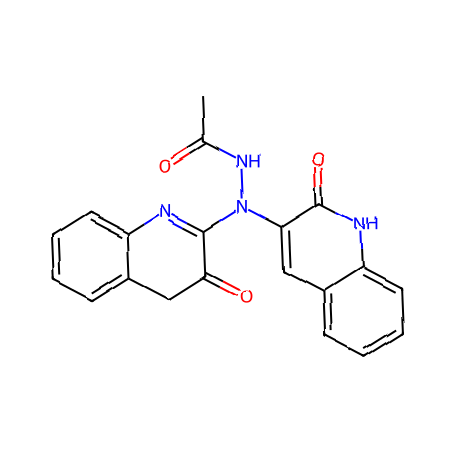 CC(=O)NN(C1=Nc2ccccc2CC1=O)c1cc2ccccc2[nH]c1=O